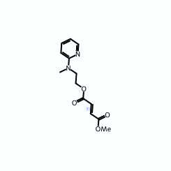 COC(=O)/C=C/C(=O)OCCN(C)c1ccccn1